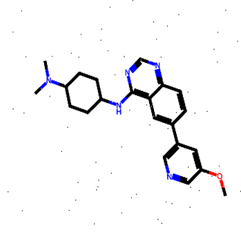 COc1cncc(-c2ccc3ncnc(NC4CCC(N(C)C)CC4)c3c2)c1